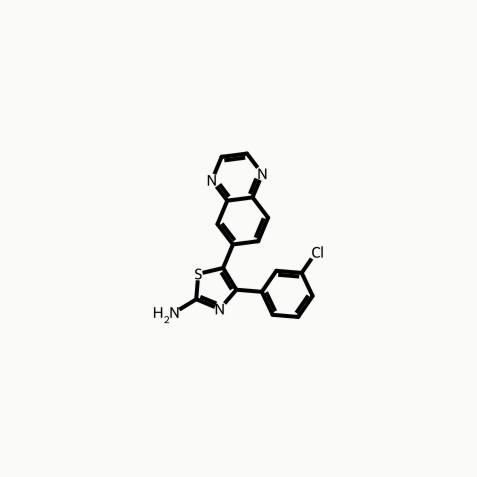 Nc1nc(-c2cccc(Cl)c2)c(-c2ccc3nccnc3c2)s1